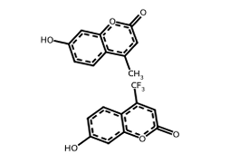 Cc1cc(=O)oc2cc(O)ccc12.O=c1cc(C(F)(F)F)c2ccc(O)cc2o1